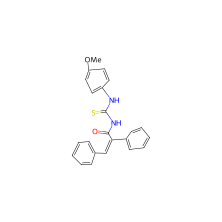 COc1ccc(NC(=S)NC(=O)/C(=C\c2ccccc2)c2ccccc2)cc1